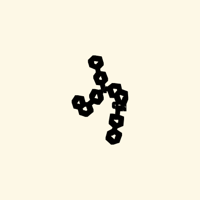 c1ccc(-c2ccc(-c3nc4ccc5ccc(N(c6ccc(-c7ccccc7)cc6)c6ccc(-c7cccc8ccccc78)cc6)cc5c4o3)cc2)cc1